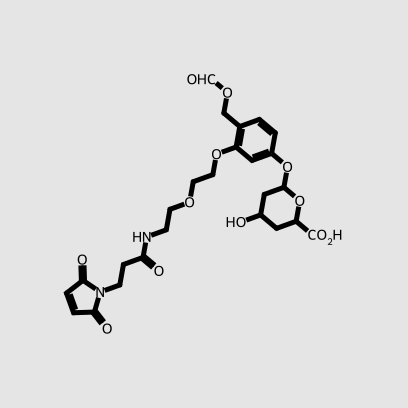 O=COCc1ccc(OC2CC(O)CC(C(=O)O)O2)cc1OCCOCCNC(=O)CCN1C(=O)C=CC1=O